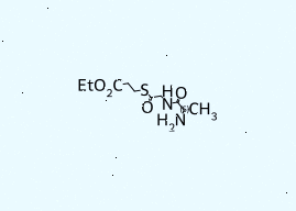 CCOC(=O)CCSC(=O)CNC(=O)[C@H](C)N